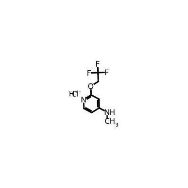 CNc1ccnc(OCC(F)(F)F)c1.[Cl-].[H+]